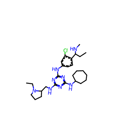 CCC(NC)c1ccc(Nc2nc(NCC3CCCN3CC)nc(NC3CCCCCC3)n2)cc1Cl